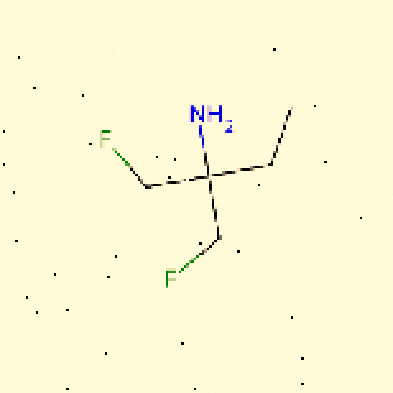 CCC(N)(CF)CF